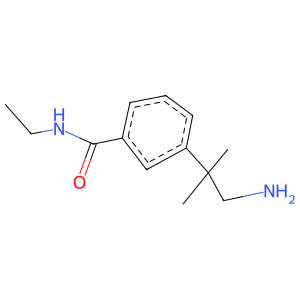 CCNC(=O)c1cccc(C(C)(C)CN)c1